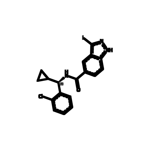 O=C(N[C@H](c1ccccc1Cl)C1CC1)c1ccc2[nH]nc(I)c2c1